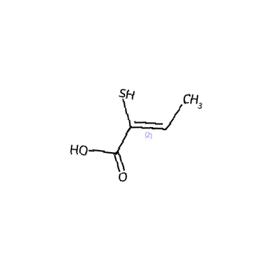 C/C=C(\S)C(=O)O